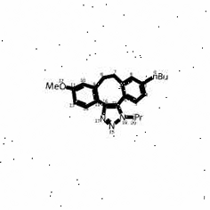 CCCCc1ccc2c(c1)CCc1cc(OC)ccc1-c1nnn(C(C)C)c1-2